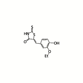 CCOc1cc(/C=C2\SC(=S)NC2=O)ccc1O